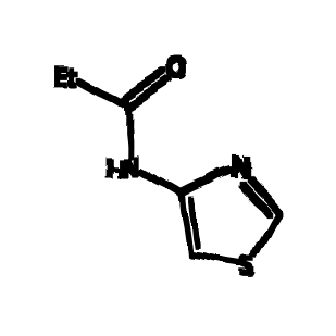 CCC(=O)Nc1cscn1